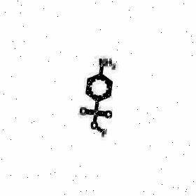 Nc1ccc(S(=O)(=O)OF)cc1